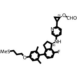 CSCCCOc1cc(C)c(-c2ccc(F)c3c2CC[C@H]3Nc2ccc(C3C[C@@H]3OC=O)nc2)c(C)c1